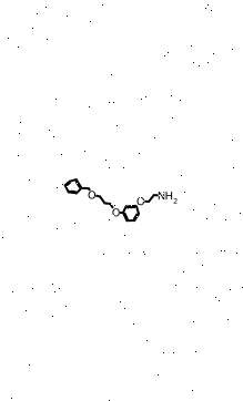 NCCOc1cccc(OCCCOCc2ccccc2)c1